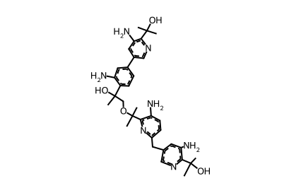 CC(C)(O)c1ncc(Cc2ccc(N)c(C(C)(C)OCC(C)(O)c3ccc(-c4cnc(C(C)(C)O)c(N)c4)cc3N)n2)cc1N